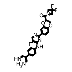 N=C/C(=C\N)c1ccc(Nc2nc(-c3ccc4c(c3)OC(C(=O)N3CC(F)(F)C3)CO4)ncc2F)cc1